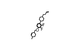 C=CCCC1CCC(c2ccc(OCC3C=CC(C)CC3)c(F)c2F)CC1